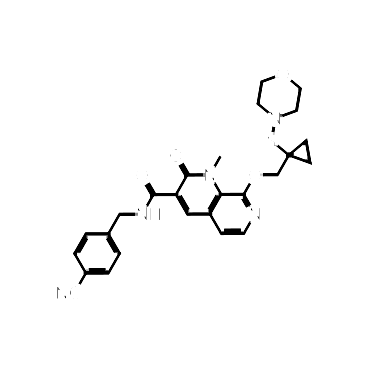 Cn1c(=O)c(C(=O)NCc2ccc(C#N)cc2)cc2ccnc(OCC3(SN4CCOCC4)CC3)c21